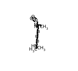 CCc1c(CN2CCS(=O)(=O)CC2)nnn1CCOCCOCCOCCNC(C)C